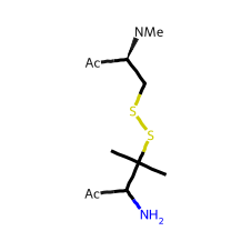 CN[C@@H](CSSC(C)(C)C(N)C(C)=O)C(C)=O